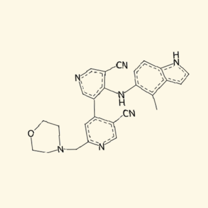 Cc1c(Nc2c(C#N)cncc2-c2cc(CN3CCOCC3)ncc2C#N)ccc2[nH]ccc12